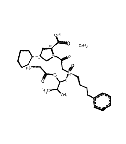 CCC(=O)OC(O[P@](=O)(CCCCc1ccccc1)CC(=O)N1C[C@H](C2CCCCC2)C[C@H]1C(=O)O)C(C)C.[CaH2]